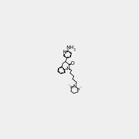 C[C@@H]1CCC[C@H](C)N1CCCCCN1C(=O)C(c2ccc(N)nc2)Cc2ccccc21